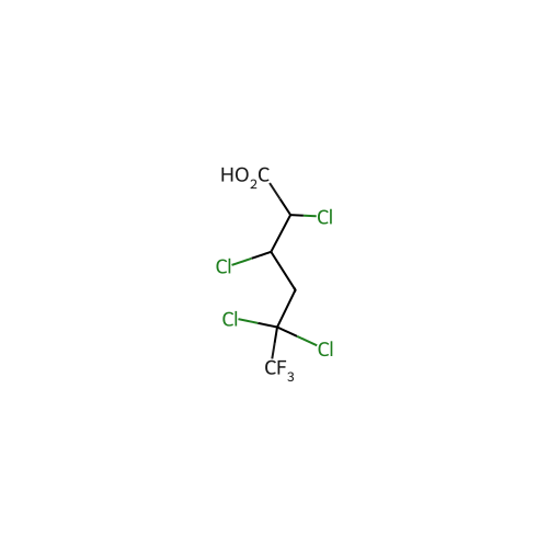 O=C(O)C(Cl)C(Cl)CC(Cl)(Cl)C(F)(F)F